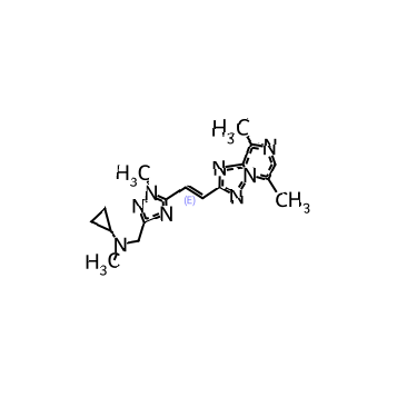 Cc1ncc(C)n2nc(/C=C/c3nc(CN(C)C4CC4)nn3C)nc12